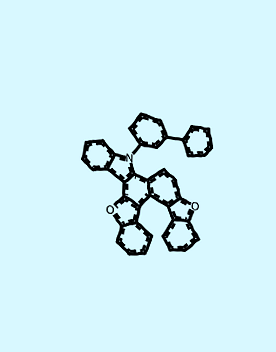 c1ccc(-c2cccc(-n3c4ccccc4c4c5oc6ccccc6c5c5c(ccc6oc7ccccc7c65)c43)c2)cc1